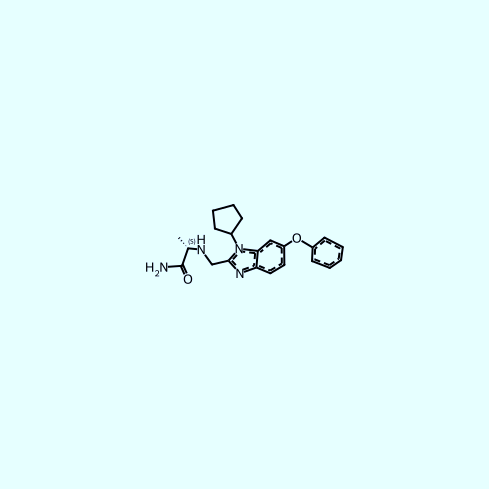 C[C@H](NCc1nc2ccc(Oc3ccccc3)cc2n1C1CCCC1)C(N)=O